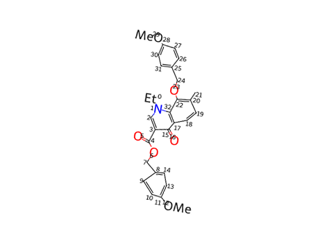 CCn1cc(C(=O)OCc2ccc(OC)cc2)c(=O)c2ccc(C)c(OCc3ccc(OC)cc3)c21